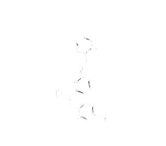 CCC(Sc1ccc(Cl)cc1)c1cccc(OCc2ccccc2)c1